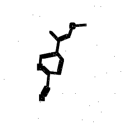 CO/C=C(\C)c1ccc(C#N)nc1